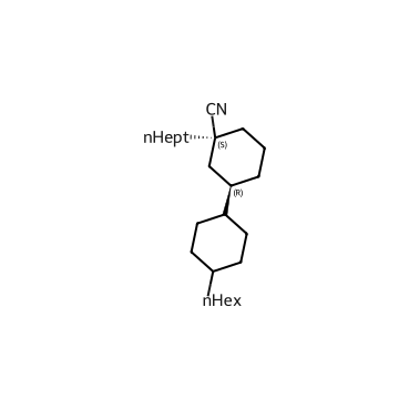 CCCCCCC[C@]1(C#N)CCC[C@@H](C2CCC(CCCCCC)CC2)C1